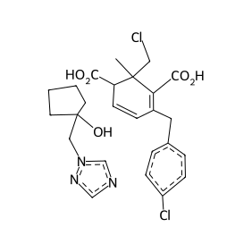 CC1(CCl)C(C(=O)O)=C(Cc2ccc(Cl)cc2)C=CC1C(=O)O.OC1(Cn2cncn2)CCCC1